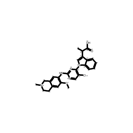 COc1cc2c(cc1Nc1ncc(Cl)c(-n3cc(C(C)C(=O)O)c4ccccc43)n1)CN(C)CC2